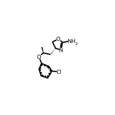 C[C@@H](C[C@@H]1COC(N)=N1)Oc1cccc(Cl)c1